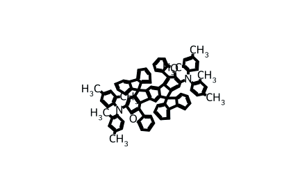 Cc1ccc(N(c2ccc(C)cc2C)c2cc3c(c4c2oc2ccccc24)-c2cc4c(cc2C32c3ccccc3-c3ccccc32)-c2c(cc(N(c3ccc(C)cc3C)c3ccc(C)cc3C)c3oc5ccccc5c23)C42c3ccccc3-c3ccccc32)c(C)c1